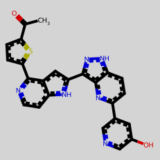 CC(=O)c1ccc(-c2nccc3[nH]c(-c4n[nH]c5ccc(-c6cncc(O)c6)nc45)cc23)s1